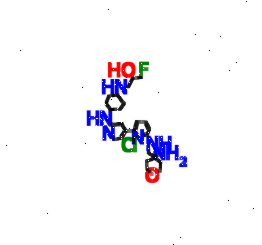 NC1(CNc2cccc(-c3cc(N[C@H]4CC[C@H](NC[C@@H](O)CF)CC4)ncc3Cl)n2)CCOCC1